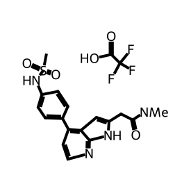 CNC(=O)Cc1cc2c(-c3ccc(NS(C)(=O)=O)cc3)ccnc2[nH]1.O=C(O)C(F)(F)F